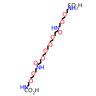 O=C(O)NCCOCCOCCNC(=O)CCOCCOCCOCCOCCC(=O)NCCOCCOCCNC(=O)O